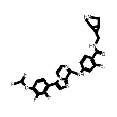 CCc1cc(Nc2nccn3c(-c4ccc(OC(F)F)c(F)c4F)cnc23)ccc1C(=O)NCC1C2CNCC21